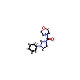 O=C(N1CCOCC1)N1CCN(c2ccccc2)C1